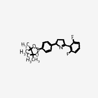 CC1(C)OB(c2ccc(C3CCC(c4c(F)cccc4F)=N3)cc2)OC1(C)C